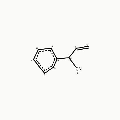 C=CC(C#N)c1[c]cccc1